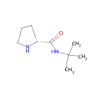 CC(C)(C)NC(=O)[C@H]1CCCN1